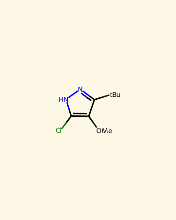 COc1c(C(C)(C)C)n[nH]c1Cl